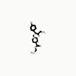 C=CC(=O)[C@H](CN1CCC(C(=O)OCC)CC1)c1ccc(Cl)cc1